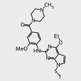 CCOc1nc(Nc2ccc(C(=O)N3CCN(C)CC3)cc2OC)nc2c1ccn2SI